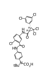 CC(C)(C)N(C(=O)O)c1ccc(NC(=O)c2cc(NC(=O)[C@H]3[C@H](c4cc(Cl)cc(Cl)c4)C3(Cl)Cl)ccc2Cl)cc1